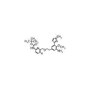 COc1c(N)cc(CCOCc2nc(NC(=O)OC(C)(C)C)ccc2F)cc1-c1ccn(C)n1